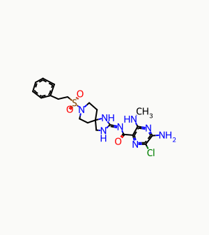 CNc1nc(N)c(Cl)nc1C(=O)/N=C1\NCC2(CCN(S(=O)(=O)CCc3ccccc3)CC2)N1